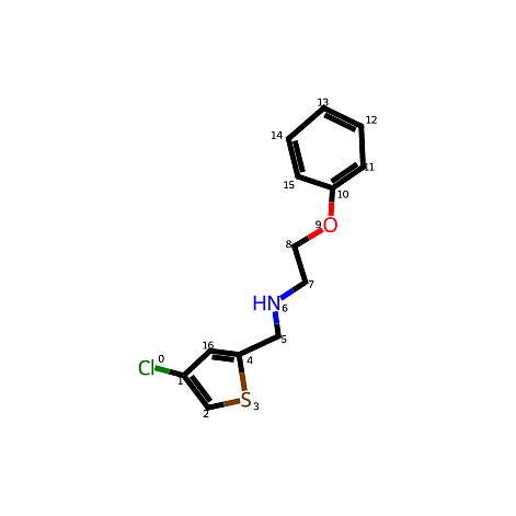 Clc1csc(CNCCOc2ccccc2)c1